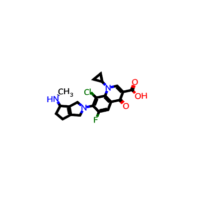 CNC1CCC2=C1CN(c1c(F)cc3c(=O)c(C(=O)O)cn(C4CC4)c3c1Cl)C2